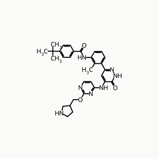 Cc1c(NC(=O)c2ccc(C(C)(C)C)cc2)cccc1-c1cc(Nc2ccnc(OCC3CCNC3)n2)c(=O)[nH]n1